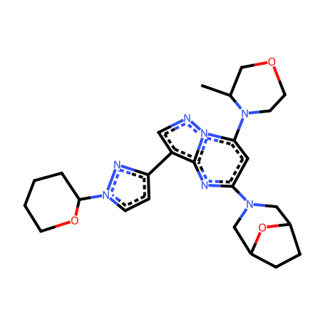 CC1COCCN1c1cc(N2CC3CCC(C2)O3)nc2c(-c3ccn(C4CCCCO4)n3)cnn12